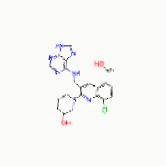 CCCO.OC1CCCN(c2nc3c(Cl)cccc3cc2CNc2ncnc3[nH]cnc23)C1